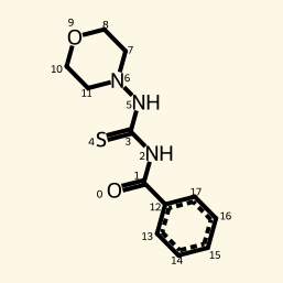 O=C(NC(=S)NN1CCOCC1)c1ccccc1